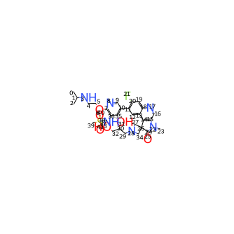 CC(C)NCCOc1ncc(-c2cc3c4c(cnc3cc2F)N(C)C(=O)C42CN(CC(O)CO)C2)cc1NS(C)(=O)=O